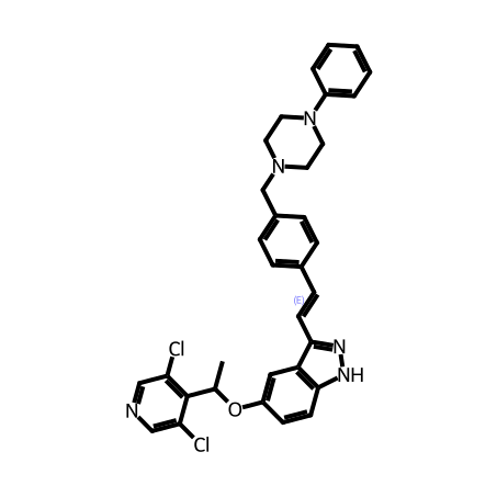 CC(Oc1ccc2[nH]nc(/C=C/c3ccc(CN4CCN(c5ccccc5)CC4)cc3)c2c1)c1c(Cl)cncc1Cl